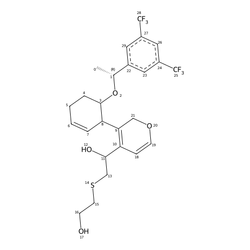 C[C@@H](OC1CCC=CC1C1=C(C(O)CSCCO)C=COC1)c1cc(C(F)(F)F)cc(C(F)(F)F)c1